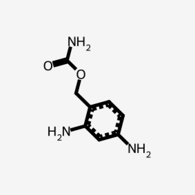 NC(=O)OCc1ccc(N)cc1N